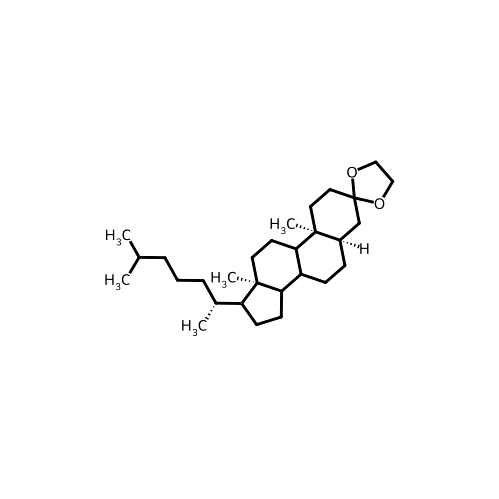 CC(C)CCC[C@@H](C)C1CCC2C3CC[C@@H]4CC5(CC[C@]4(C)C3CC[C@@]21C)OCCO5